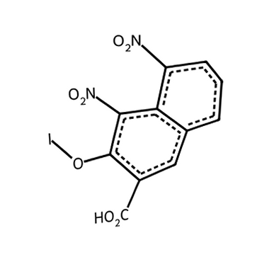 O=C(O)c1cc2cccc([N+](=O)[O-])c2c([N+](=O)[O-])c1OI